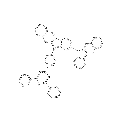 c1ccc(-c2nc(-c3ccccc3)nc(-c3ccc(-n4c5cc(-n6c7ccccc7c7cc8ccccc8cc76)ccc5c5cc6ccccc6cc54)cc3)n2)cc1